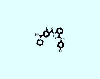 N=C(c1ccc(C(=O)Nc2ccccc2C(=O)Nc2ccc(Cl)cc2)c(F)c1)N1CCCCC1